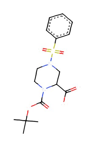 CC(C)(C)OC(=O)N1CCN(S(=O)(=O)c2ccccc2)CC1C(=O)O